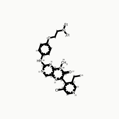 CCN(CC)CCOc1ccc(Nc2ncc3nc(-c4c(Cl)cncc4CI)c(=O)n(C)c3n2)cc1